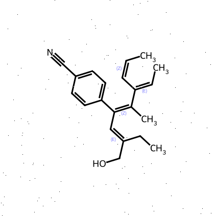 C\C=C/C(=C\C)C(/C)=C(/C=C(\CC)CO)c1ccc(C#N)cc1